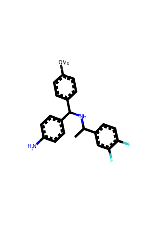 COc1ccc(C(NC(C)c2ccc(F)c(F)c2)c2ccc(N)cc2)cc1